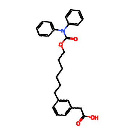 O=C(O)Cc1cccc(CCCCCCOC(=O)N(c2ccccc2)c2ccccc2)c1